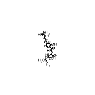 CC(C)OC(=O)N[C@@H](CNC(=O)c1ccc(OCCNC(=N)N)cc1O)C(=O)O